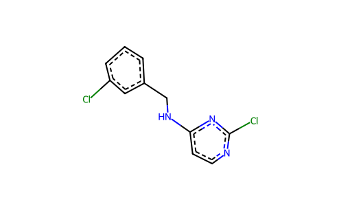 Clc1cccc(CNc2ccnc(Cl)n2)c1